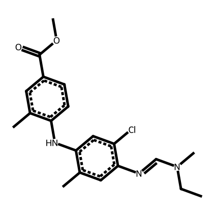 CCN(C)/C=N/c1cc(C)c(Nc2ccc(C(=O)OC)cc2C)cc1Cl